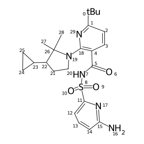 CC(C)(C)c1ccc(C(=O)NS(=O)(=O)c2cccc(N)n2)c(N2CCC(C3CC3)C2(C)C)n1